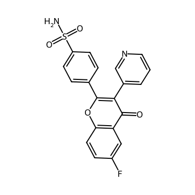 NS(=O)(=O)c1ccc(-c2oc3ccc(F)cc3c(=O)c2-c2cccnc2)cc1